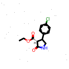 CCOC(=O)[C@H]1C(=O)NCC1c1ccc(Cl)cc1